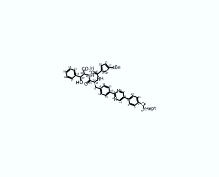 CCCCCCCOc1ccc(-c2cnc(-c3ccc(C[C@H](NC(=O)c4ccc(C(C)(C)C)s4)C(=O)NC(C(=O)O)C(O)c4ccccc4)cc3)nc2)cc1